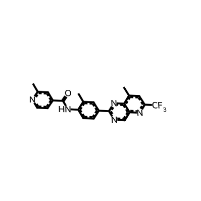 Cc1cc(C(=O)Nc2ccc(-c3ncc4nc(C(F)(F)F)cc(C)c4n3)cc2C)ccn1